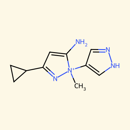 C[N+]1(c2cn[nH]c2)N=C(C2CC2)C=C1N